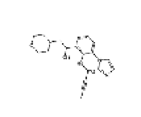 CC#CC(=O)Nc1c(C(O)CN2CCOCC2)cccc1-n1ccnc1